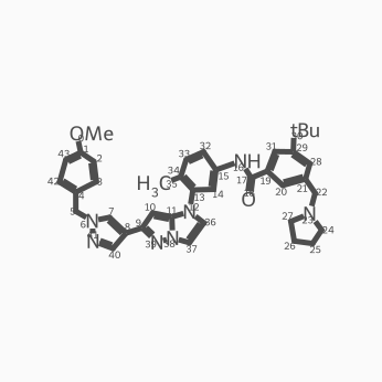 COc1ccc(Cn2cc(-c3cc4n(-c5cc(NC(=O)c6cc(CN7CCCC7)cc(C(C)(C)C)c6)ccc5C)ccn4n3)cn2)cc1